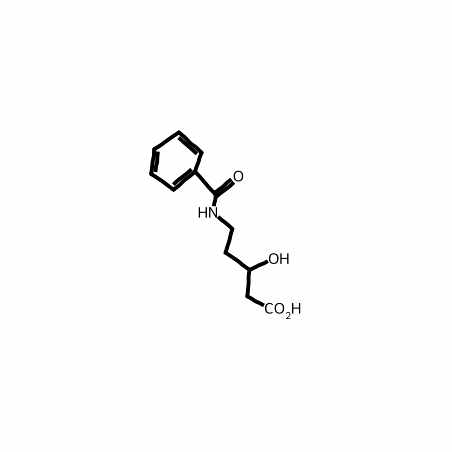 O=C(O)CC(O)CCNC(=O)c1ccccc1